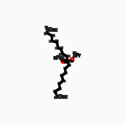 CCCCCCCCCCCCCCCCCC[Si](CCCCCCCCCCCCCCCCCC)(OCCC)OCCC